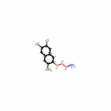 Cc1cc2cc(Cl)c(Cl)cc2cc1SOON